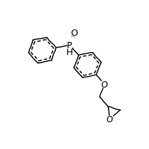 O=[PH](c1ccccc1)c1ccc(OCC2CO2)cc1